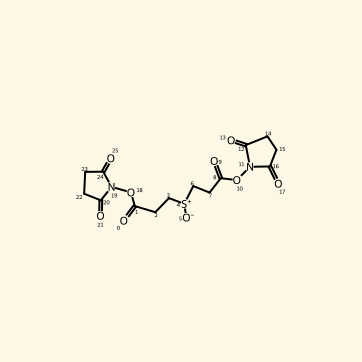 O=C(CC[S+]([O-])CCC(=O)ON1C(=O)CCC1=O)ON1C(=O)CCC1=O